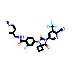 C=N/C=C\C(=C)CNC(=O)c1ccc(N2C(=S)N(c3cnc(C#N)c(C(F)(F)F)c3)C(=O)C23CCC3)cc1F